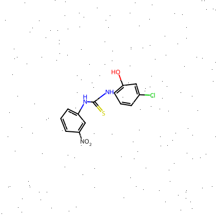 O=[N+]([O-])c1cccc(NC(=S)Nc2ccc(Cl)cc2O)c1